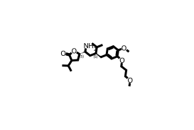 COCCCOc1cc(C[C@@H](CC(N)[C@@H]2CC(C(C)C)C(=O)O2)C(C)C)ccc1OC